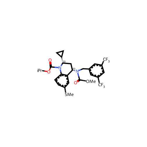 COC(=O)N(Cc1cc(C(F)(F)F)cc(C(F)(F)F)c1)[C@H]1C[C@@H](C2CC2)N(C(=O)OC(C)C)c2ccc(SC)cc21